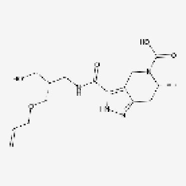 C=CCOC[C@H](CO)CNC(=O)c1[nH]nc2c1CN(C(=O)O)[C@H](C)C2